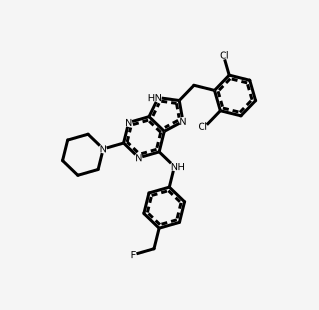 FCc1ccc(Nc2nc(N3CCCCC3)nc3[nH]c(Cc4c(Cl)cccc4Cl)nc23)cc1